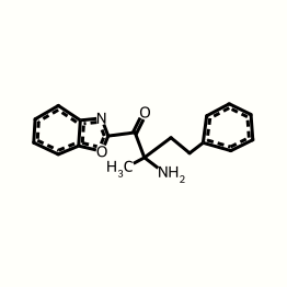 CC(N)(CCc1ccccc1)C(=O)c1nc2ccccc2o1